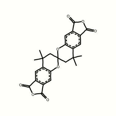 CC1(C)CC2(CC(C)(C)c3cc4c(cc3O2)C(=O)OC4=O)Oc2cc3c(cc21)C(=O)OC3=O